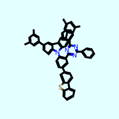 Cc1cc(C)cc(-c2ccc3c(c2)c2cc(-c4cc(C)cc(C)c4)ccc2n3-c2ccc(-c3ccc4c(c3)sc3ccccc34)cc2-c2nc(-c3ccccc3)nc(-c3ccccc3)n2)c1